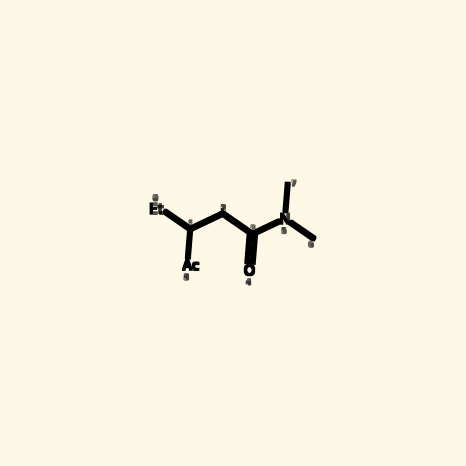 CCC(CC(=O)N(C)C)C(C)=O